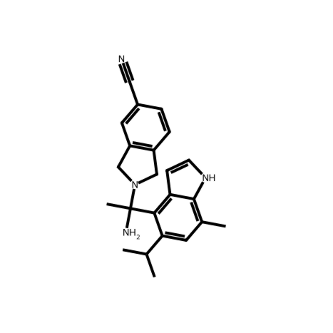 Cc1cc(C(C)C)c(C(C)(N)N2Cc3ccc(C#N)cc3C2)c2cc[nH]c12